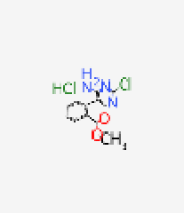 COC(=O)c1ccccc1-c1cnc(Cl)nc1N.Cl